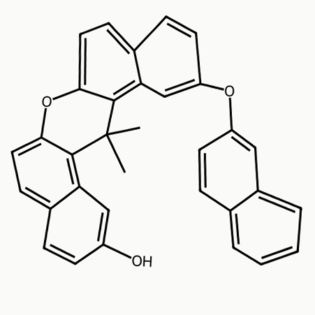 CC1(C)c2c(ccc3ccc(O)cc23)Oc2ccc3ccc(Oc4ccc5ccccc5c4)cc3c21